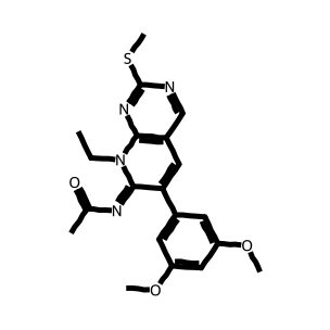 CCn1c(=NC(C)=O)c(-c2cc(OC)cc(OC)c2)cc2cnc(SC)nc21